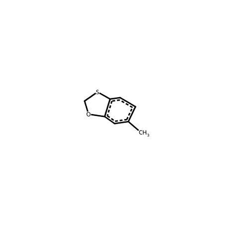 Cc1ccc2c(c1)OCS2